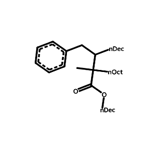 CCCCCCCCCCOC(=O)C(C)(CCCCCCCC)C(CCCCCCCCCC)Cc1ccccc1